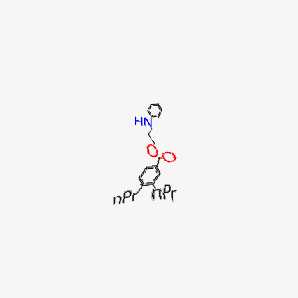 CCCc1ccc(C(=O)OCCCNc2ccccc2)cc1CCC